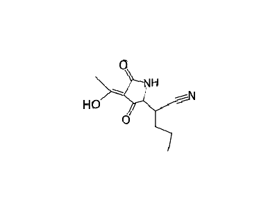 CCCC(C#N)C1NC(=O)C(=C(C)O)C1=O